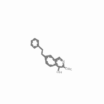 CC(=O)Oc1ncc2cc(CCc3ccccc3)ccc2c1O